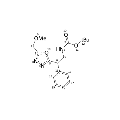 COCc1nnc(C(CNC(=O)OC(C)(C)C)c2ccccc2)o1